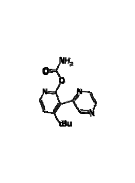 CC(C)(C)c1ccnc(OC(N)=O)c1-c1cnccn1